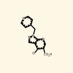 O=C(O)c1cnc2c(cnn2Cc2ccncc2)c1Cl